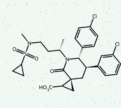 C[C@@H](CCN(C)S(=O)(=O)C1CC1)N1C(=O)[C@]2(CC2C(=O)O)C[C@H](c2cccc(Cl)c2)[C@H]1c1ccc(Cl)cc1